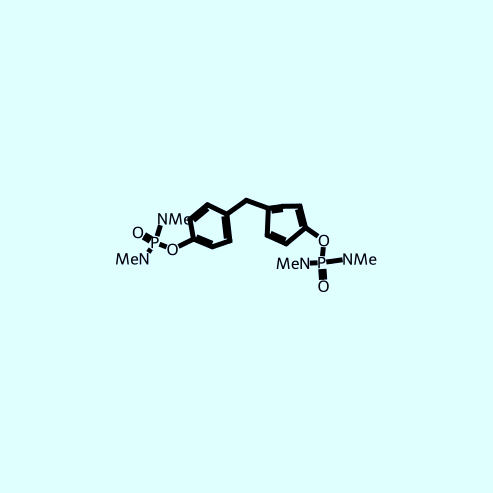 CNP(=O)(NC)Oc1ccc(Cc2ccc(OP(=O)(NC)NC)cc2)cc1